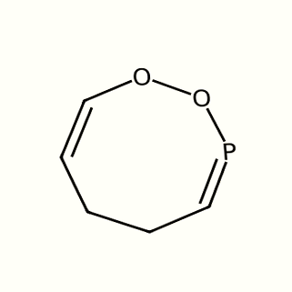 C1=COOP=CCC1